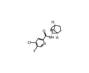 O=C(N[C@@H]1C[C@H]2CC[C@@H]1N2)c1cc(Cl)c(F)cn1